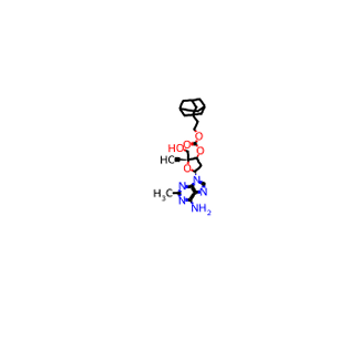 C#C[C@]1(CO)O[C@@H](n2cnc3c(N)nc(C)nc32)C[C@@H]1OC(=O)OCCC12CC3CC(CC(C3)C1)C2